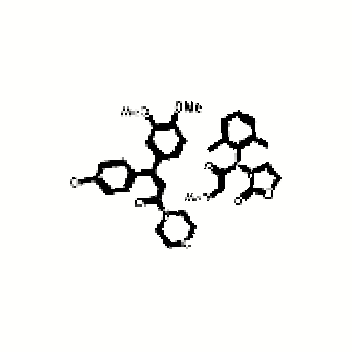 COCC(=O)N(c1c(C)cccc1C)N1CCOC1=O.COc1ccc(/C(=C/C(=O)N2CCOCC2)c2ccc(Cl)cc2)cc1OC